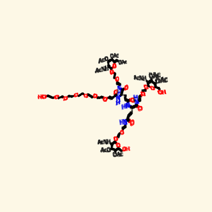 CC(=O)NC1C(OCCOCCNC(=O)CC[C@H](NC(=O)CC[C@H](NC(=O)CCOCCOCCOCCOCCOCCOCCO)C(=O)NCCOCCOC2OC(COC(C)=O)C(OC(C)=O)C(OC(C)=O)C2NC(C)=O)C(=O)NCCOCCOC2OC(CO)C(OC(C)=O)C(OC(C)=O)C2NC(C)=O)OC(CO)C(OC(C)=O)C1OC(C)=O